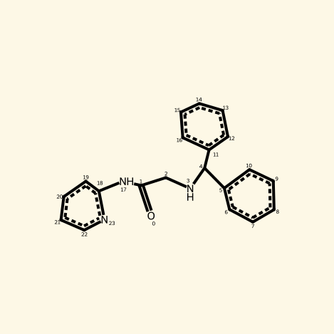 O=C(CNC(c1ccccc1)c1ccccc1)Nc1ccccn1